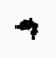 N#Cc1ccc(COc2cccc(-c3cc(F)c(Cc4nc5ccc(C(=O)O)cc5n4CC4(C(F)F)COC4)cc3F)n2)c(F)c1